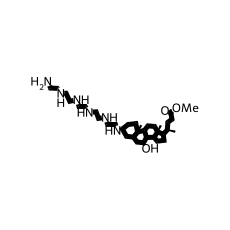 COC(=O)CC[C@@H](C)C1CCC2C3C(CC[C@@]21C)[C@@]1(C)CC[C@H](NCCNCCNCCNCCNCCN)CC1C[C@H]3O